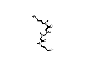 CC(C)CCCN(C)C(=O)CN(C)CN(C)CC(=O)N(C)CCCC(C)C